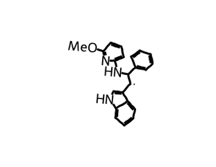 COc1cccc(NC([CH]c2c[nH]c3ccccc23)c2ccccc2)n1